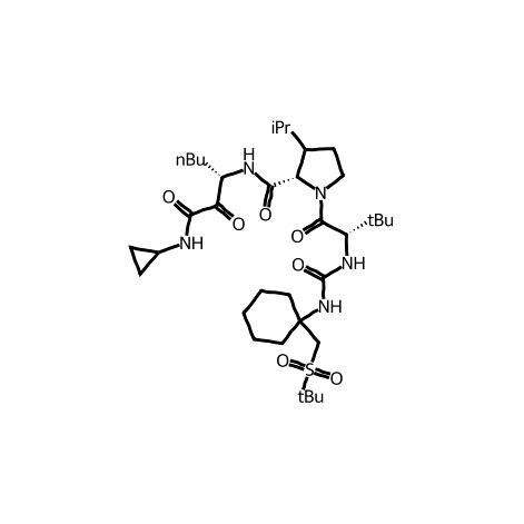 CCCC[C@H](NC(=O)[C@@H]1C(C(C)C)CCN1C(=O)[C@@H](NC(=O)NC1(CS(=O)(=O)C(C)(C)C)CCCCC1)C(C)(C)C)C(=O)C(=O)NC1CC1